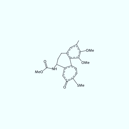 COC(=O)NC1CCc2cc(C)c(OC)c(OC)c2-c2ccc(SC)c(=O)cc21